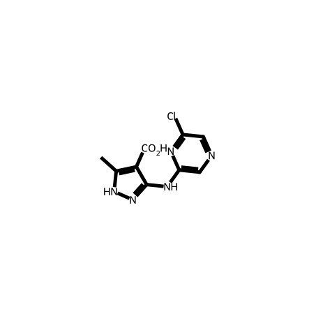 Cc1[nH]nc(Nc2cncc(Cl)n2)c1C(=O)O